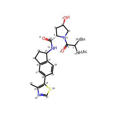 CC(=O)NC(C(=O)N1C[C@H](O)C[C@H]1C(=O)NC1CCc2cc(-c3scnc3C)ccc21)C(C)(C)C